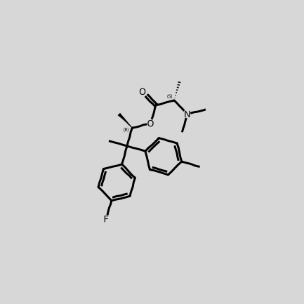 Cc1ccc(C(C)(c2ccc(F)cc2)[C@@H](C)OC(=O)[C@H](C)N(C)C)cc1